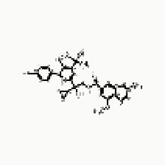 COc1cc(C(=O)NCC(O)(c2cc(C(C)(C)O)c(Cl)c(-c3ccc(F)cc3)n2)C2CC2)cc2cc(C)cnc12